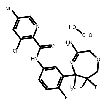 CC1(c2cc(NC(=O)c3ncc(C#N)cc3Cl)ccc2F)N=C(N)COCC1(F)F.O=CO